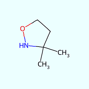 CC1(C)CCON1